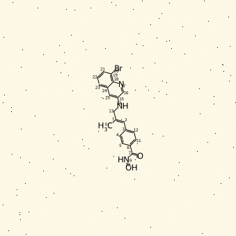 CC(=Cc1ccc(C(=O)NO)cc1)CNc1cnc2c(Br)cccc2c1